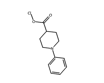 O=C(OCl)C1CCN(c2ccccc2)CC1